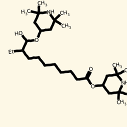 CCC(CCCCCCCC(=O)OC1CC(C)(C)NC(C)(C)C1)C(O)OC1CC(C)(C)NC(C)(C)C1